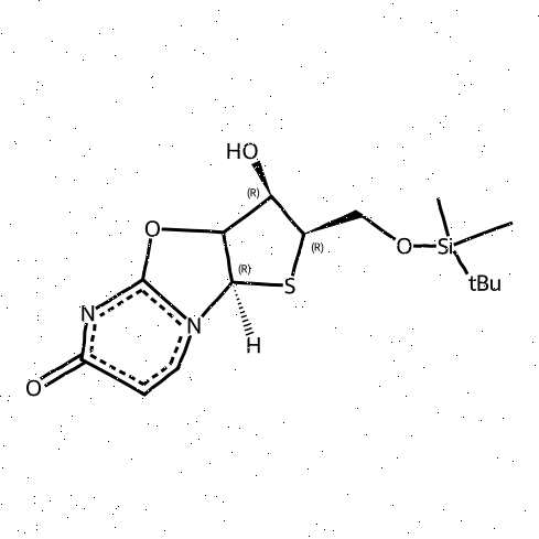 CC(C)(C)[Si](C)(C)OC[C@H]1S[C@@H]2C(Oc3nc(=O)ccn32)[C@H]1O